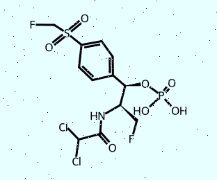 O=C(N[C@H](CF)[C@H](OP(=O)(O)O)c1ccc(S(=O)(=O)CF)cc1)C(Cl)Cl